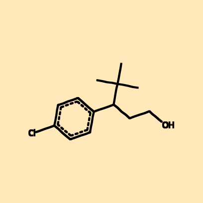 CC(C)(C)C(CCO)c1ccc(Cl)cc1